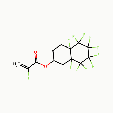 C=C(F)C(=O)OC1CCC2(F)C(F)(F)C(F)(F)C(F)(F)C(F)(F)C2(F)C1